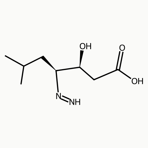 CC(C)C[C@H](N=N)[C@@H](O)CC(=O)O